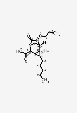 C=CCON1C(=O)N2C[C@H]1[C@H]1C(CCCCC)C1[C@H]2C(=O)O